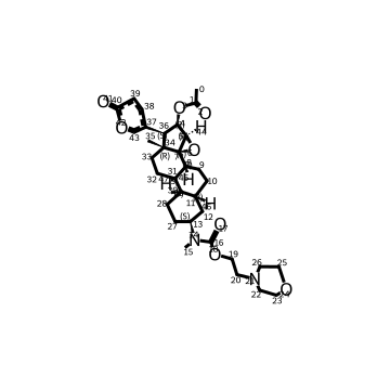 CC(=O)O[C@H]1[C@H]2O[C@]23[C@@H]2CC[C@@H]4C[C@@H](N(C)C(=O)OCCN5CCOCC5)CC[C@]4(C)[C@H]2CC[C@]3(C)[C@H]1c1ccc(=O)oc1